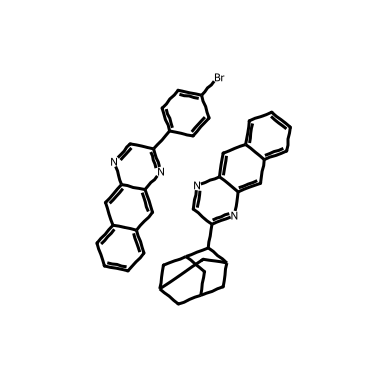 Brc1ccc(-c2cnc3cc4ccccc4cc3n2)cc1.c1ccc2cc3nc(C4C5CC6CC(C5)CC4C6)cnc3cc2c1